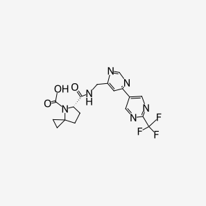 O=C(NCc1cc(-c2cnc(C(F)(F)F)nc2)ncn1)[C@@H]1CCC2(CC2)N1C(=O)O